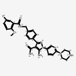 COc1ccc(F)cc1C(=O)NCc1ccc(-c2nn(-c3ccc(N4CCNCC4)nc3)c(N)c2C(N)=O)cc1